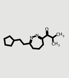 CC(C)C(=O)C1=NN=C(CCC2CCCC2)CCC1